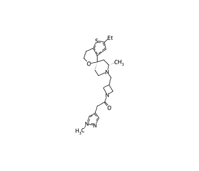 CCc1cc2c(s1)CCO[C@@]21CCN(CC2CN(C(=O)Cc3cnn(C)c3)C2)[C@@H](C)C1